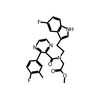 COC(=O)CN(CCc1c[nH]c2ccc(F)cc12)C(=O)c1nccnc1-c1ccc(F)c(C)c1